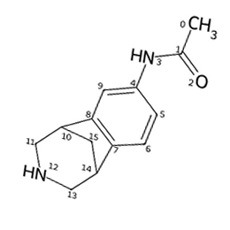 CC(=O)Nc1ccc2c(c1)C1CNCC2C1